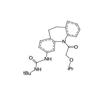 CC(C)OCC(=O)N1c2ccccc2CCc2ccc(NC(=O)NC(C)(C)C)cc21